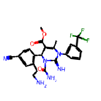 COC(=O)C1=C(C)N(c2cccc(C(F)(F)F)c2)C(=N)N(C(N)=O)C1c1ccc(C#N)cc1CCN